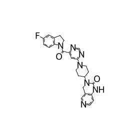 O=C(c1cc(N2CCC(N3Cc4cnccc4NC3=O)CC2)ncn1)N1CCc2cc(F)ccc21